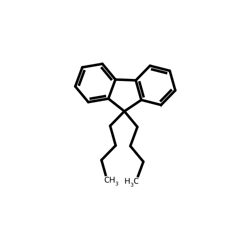 CCCCC1(CCCC)c2[c]cccc2-c2ccccc21